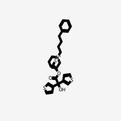 O=C(OC1C[N+]2(CCCCc3ccccc3)CCC1CC2)C(O)(c1ccsc1)c1ccsc1